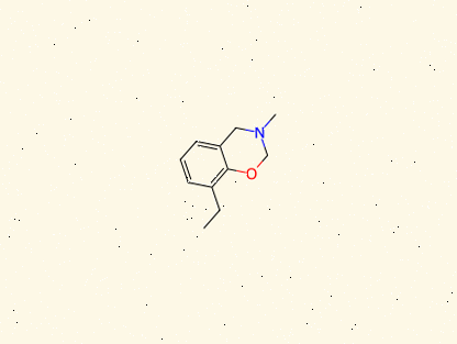 CCc1cccc2c1OCN(C)C2